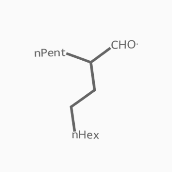 CCCCCCCCC([C]=O)CCCCC